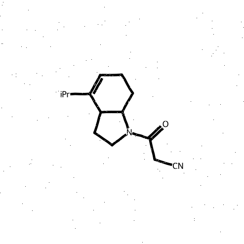 CC(C)C1=CCCC2C1CCN2C(=O)CC#N